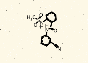 CS(=O)(=O)Nc1ccccc1C(=O)Nc1cccc(C#N)c1